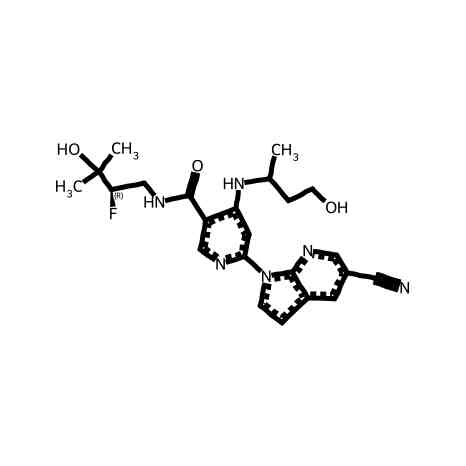 CC(CCO)Nc1cc(-n2ccc3cc(C#N)cnc32)ncc1C(=O)NC[C@@H](F)C(C)(C)O